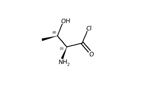 C[C@@H](O)[C@H](N)C(=O)Cl